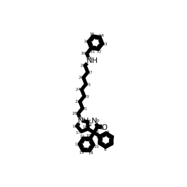 NC(=O)C(c1ccccc1)(c1ccccc1)C1CCN(CCCCCCCCCNCc2ccccc2)C1